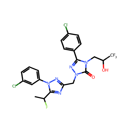 CC(F)c1nc(Cn2nc(-c3ccc(Cl)cc3)n(CC(O)C(F)(F)F)c2=O)nn1-c1cccc(Cl)c1